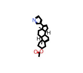 CC(=O)O[C@H]1CC[C@@]2(C)C(=CCC3[C@@H]2CC[C@]2(C)C(c4cccnc4)=CC[C@@H]32)C1